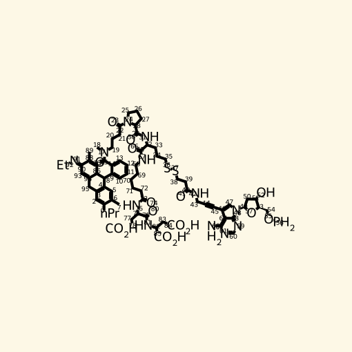 CCCc1cc2c(cc1C)C(c1ccccc1C(=O)N(C)CCCC(=O)N1CCCC1C(=O)NC(CCCSSCCC(=O)NCC#Cc1cn([C@H]3CC(O)[C@@H](COP)O3)c3ncnc(N)c13)C(=O)NCCCCCC(=O)NC(CC(=O)O)C(=O)NC(CC(=O)O)C(=O)O)C1C=C(C)/C(=N/CC)C=C1C2